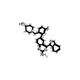 Nc1nc(C2[N]Cc3ccccc32)c2cc(-c3cc(F)ccc3CN3CCC(O)CC3)ccc2n1